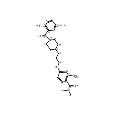 CN(C)C(=O)c1ccc(OCCCC2CCN(C(=O)c3cc(F)ccc3F)CC2)cc1Cl